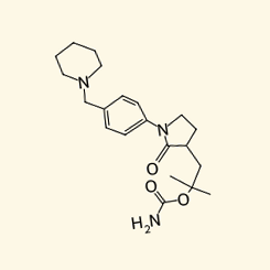 CC(C)(CC1CCN(c2ccc(CN3CCCCC3)cc2)C1=O)OC(N)=O